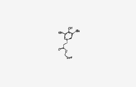 CC(C)(C)c1cc(CCC(=O)O[CH2][SnH])cc(C(C)(C)C)c1O